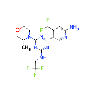 C[C@@H]1COCCN1c1nc(NCC(F)(F)F)nc(-c2cnc(N)cc2C(F)F)n1